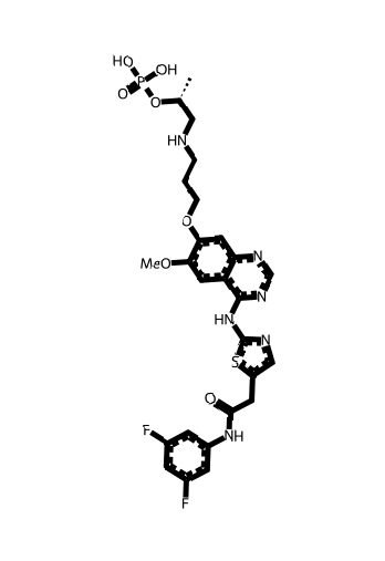 COc1cc2c(Nc3ncc(CC(=O)Nc4cc(F)cc(F)c4)s3)ncnc2cc1OCCCNC[C@@H](C)OP(=O)(O)O